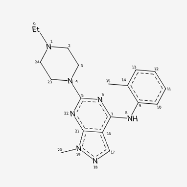 CCN1CCN(c2nc(Nc3ccccc3C)c3cnn(C)c3n2)CC1